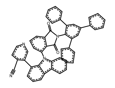 N#Cc1ccncc1-c1cccc2c3ccccc3n(-c3cccc4c3C(=O)N(c3c(-c5ccccc5)cc(-c5ccccc5)cc3-c3ccccc3)C4=O)c12